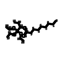 CCCCCCCCC(=O)OC(CC)[Si](OCC)(OCC)OCC